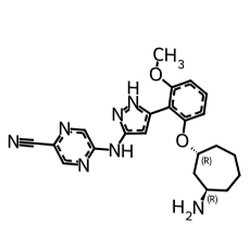 COc1cccc(O[C@@H]2CCCC[C@@H](N)C2)c1-c1cc(Nc2cnc(C#N)cn2)n[nH]1